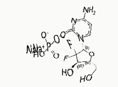 Nc1ccn([C@@H]2O[C@H](CO)[C@@H](O)C2(F)F)c(=O)n1.O=P([O-])([O-])O.[Na+].[Na+]